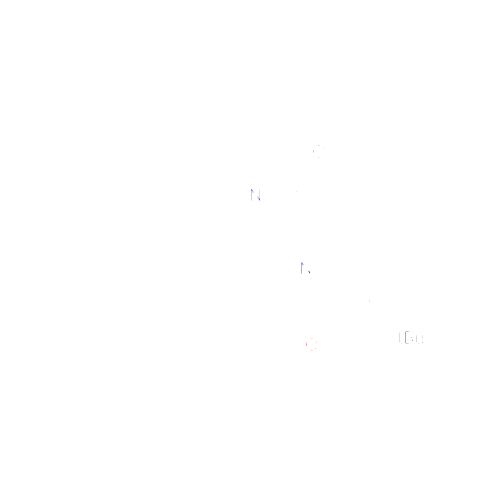 CC(C)(C)OC(=O)N1CCN(Cc2ccc(I)cc2)C(=O)C1